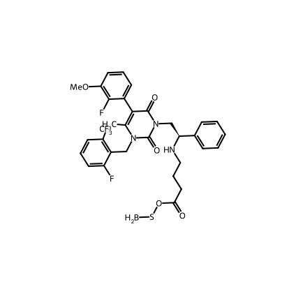 BSOC(=O)CCCN[C@@H](Cn1c(=O)c(-c2cccc(OC)c2F)c(C)n(Cc2c(F)cccc2C(F)(F)F)c1=O)c1ccccc1